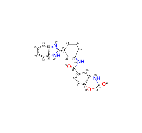 O=C1COc2ccc(C(=O)N[C@@H]3CCCC(c4nc5ccccc5[nH]4)C3)cc2N1